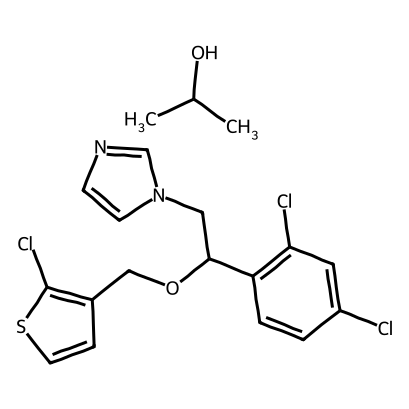 CC(C)O.Clc1ccc(C(Cn2ccnc2)OCc2ccsc2Cl)c(Cl)c1